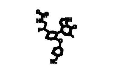 Cn1cc(-c2cc(C(F)CN[SH](=O)=O)ccc2Oc2ccc(C#N)cc2)c2cc[nH]c2c1=O